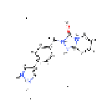 Cn1cc(-c2ccc(Cn3nc4ccccn4c3=O)cc2)cn1